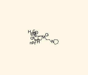 CCC[C@H]1C(=O)N(S(C)(=O)=O)C2=CN(C(=O)CCCN3CCCCC3)C[C@@H]21